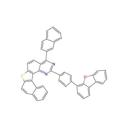 c1ccc2cc(-c3nc(-c4ccc(-c5cccc6c5oc5ccccc56)cc4)nc4c3ccc3sc5ccc6ccccc6c5c34)ccc2c1